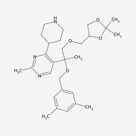 Cc1cc(C)cc(COC(C)(COCC2COC(C)(C)O2)c2cnc(C)nc2C2CCNCC2)c1